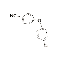 N#Cc1ccc(Oc2ccc(Cl)cc2)cc1